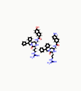 N=C(N)NCCC[C@@H]1N[C@H](CNC(=O)c2ccc3cc(N)ccc3c2)CCN(CC(c2ccccc2)c2ccccc2)C1=O.N=C(N)NCCC[C@@H]1N[C@H](CNC(=O)c2ccc3cc(O)ccc3c2)CCN(CC(c2ccccc2)c2ccccc2)C1=O